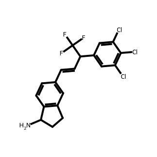 NC1CCc2cc(C=CC(c3cc(Cl)c(Cl)c(Cl)c3)C(F)(F)F)ccc21